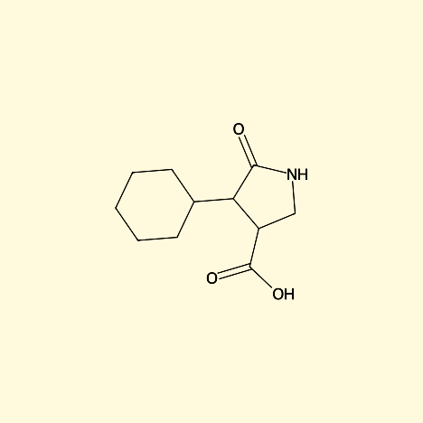 O=C(O)C1CNC(=O)C1C1CCCCC1